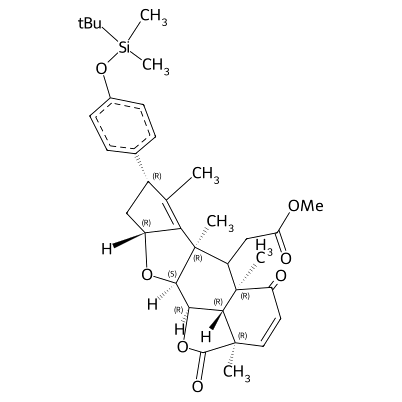 COC(=O)CC1[C@]2(C)C3=C(C)[C@@H](c4ccc(O[Si](C)(C)C(C)(C)C)cc4)C[C@H]3O[C@@H]2[C@@H]2OC(=O)[C@]3(C)C=CC(=O)[C@@]1(C)[C@@H]23